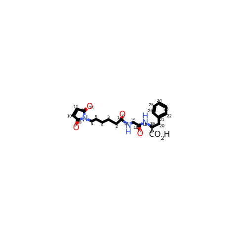 O=C(CCCCCN1C(=O)C=CC1=O)NCC(=O)N[C@@H](Cc1ccccc1)C(=O)O